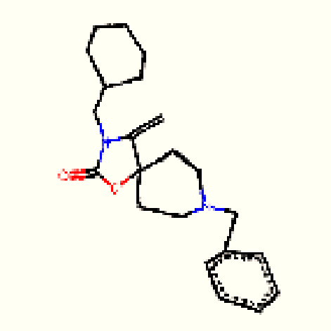 C=C1N(CC2CCCCC2)C(=O)OC12CCN(Cc1ccccc1)CC2